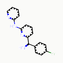 N=C(c1ccc(Br)cc1)c1cccc(Nc2ccccn2)n1